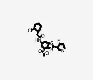 CS(=O)(=O)c1cc(NC(=O)Cc2ccccc2Cl)cc2sc(-c3cnccc3F)nc12